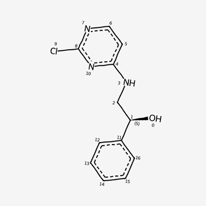 O[C@H](CNc1ccnc(Cl)n1)c1ccccc1